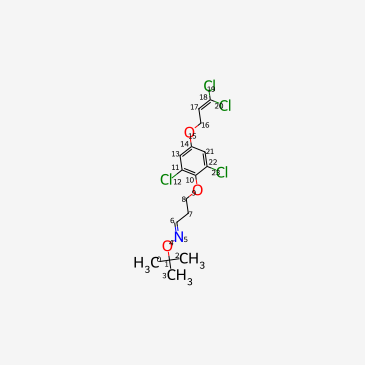 CC(C)(C)ON=CCCOc1c(Cl)cc(OCC=C(Cl)Cl)cc1Cl